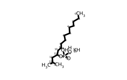 CCCCCCCCCCCC(CC(C)C)OP(=O)(O)O.[KH]